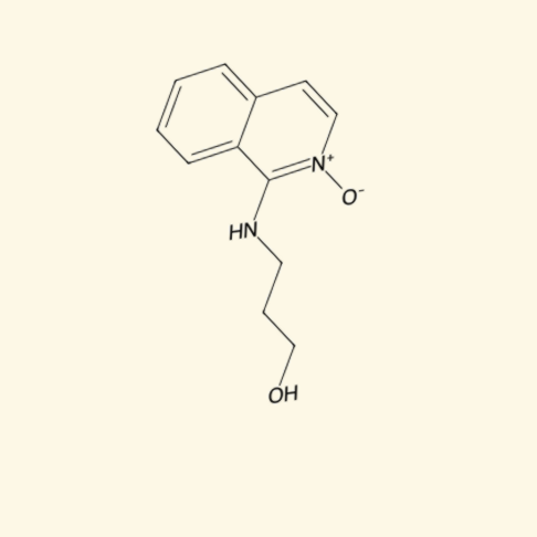 [O-][n+]1ccc2ccccc2c1NCCCO